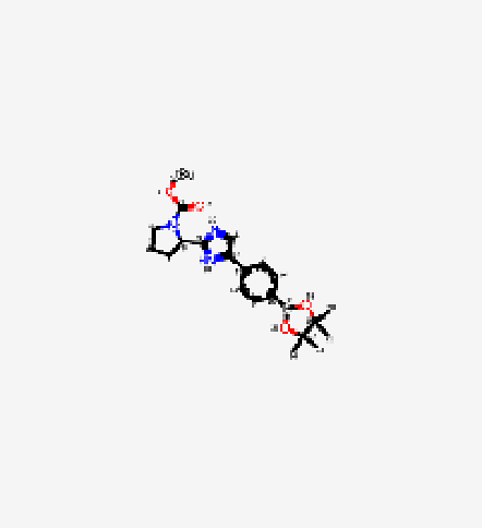 CC(C)(C)OC(=O)N1CCC[C@@H]1c1ncc(-c2ccc(B3OC(C)(C)C(C)(C)O3)cc2)[nH]1